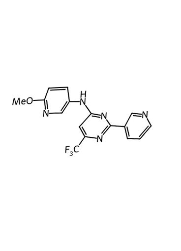 COc1ccc(Nc2cc(C(F)(F)F)nc(-c3cccnc3)n2)cn1